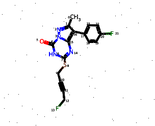 Cc1nn2c(=O)[nH]c(SCC#CCF)nc2c1-c1ccc(F)cc1